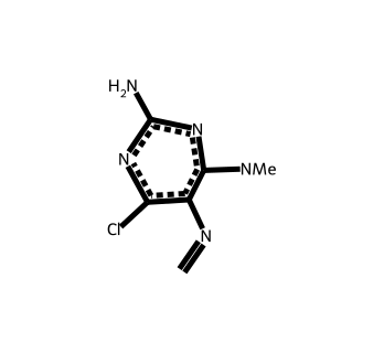 C=Nc1c(Cl)nc(N)nc1NC